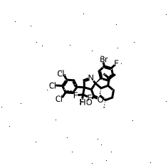 CC(C)C1CC[C@H](C)C[C@@H]1[C@@]1(c2ccc(F)c(Br)c2)N=CC(c2cc(Cl)c(Cl)c(Cl)c2)(C(F)(F)F)C1C(=O)O